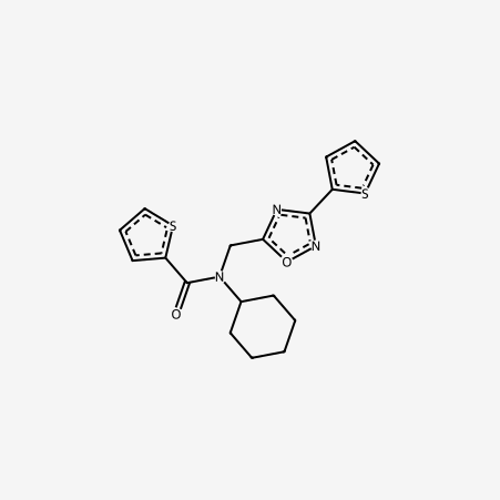 O=C(c1cccs1)N(Cc1nc(-c2cccs2)no1)C1CCCCC1